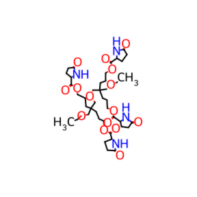 CCOCC(CCCOC(=O)C1CCC(=O)N1)(CCCOC(=O)C1CCC(=O)N1)COCC(CCCOC(=O)C1CCC(=O)N1)(CCCOC(=O)C1CCC(=O)N1)COCC